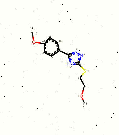 CCOCCSc1nnc(-c2ccc(OC(F)(F)F)cc2)[nH]1